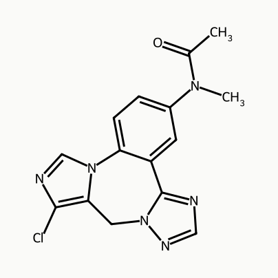 CC(=O)N(C)c1ccc2c(c1)-c1ncnn1Cc1c(Cl)ncn1-2